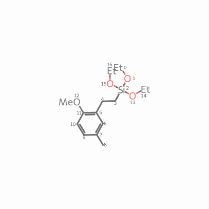 CCO[Si](CCc1cc(C)ccc1OC)(OCC)OCC